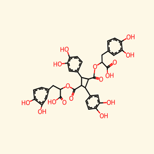 O=C(O)C(Cc1ccc(O)c(O)c1)OC(=O)C1C(c2ccc(O)c(O)c2)C(C(=O)OC(Cc2ccc(O)c(O)c2)C(=O)O)C1c1ccc(O)c(O)c1